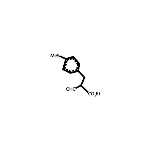 CCOC(=O)C(C=O)Cc1ccc(SC)cc1